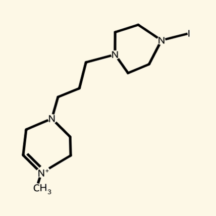 C[N+]1=CCN(CCCN2CCN(I)CC2)CC1